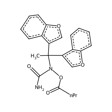 CCCC(=O)ON(C(N)=O)C(C)(c1coc2ccccc12)c1coc2ccccc12